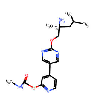 CNC(=O)Oc1cc(-c2cnc(OC[C@@](C)(N)CC(C)C)nc2)ccn1